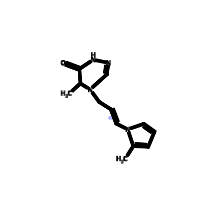 Cc1cccn1/C=C/CN1C=NNC(=O)C1C